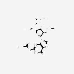 CPO[C@@H]1[C@H](O[Si](C)(C)C(C)(C)C)[C@@H](CO)O[C@H]1n1cnc2c(=O)[nH]c(NC(=O)C(C)C)nc21